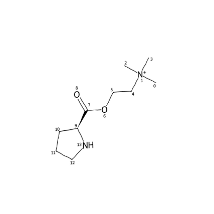 C[N+](C)(C)CCOC(=O)[C@@H]1CCCN1